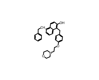 CCc1ccccc1.Oc1ccc2ccccc2c1Cc1ccc(OCCN2CCOCC2)cc1